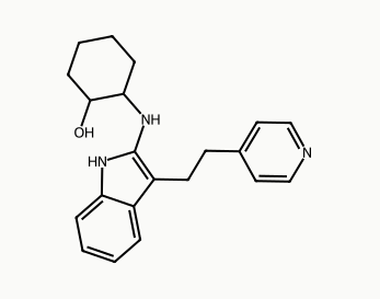 OC1CCCCC1Nc1[nH]c2ccccc2c1CCc1ccncc1